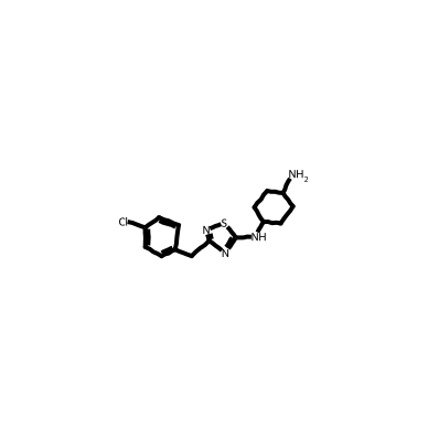 NC1CCC(Nc2nc(Cc3ccc(Cl)cc3)ns2)CC1